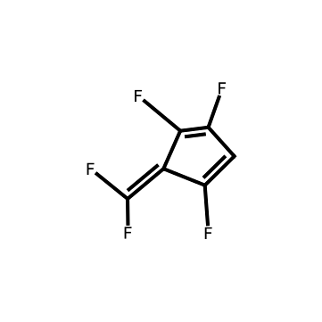 FC1=CC(F)=C(F)C1=C(F)F